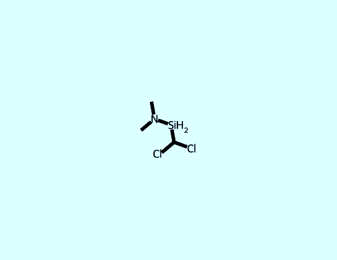 CN(C)[SiH2]C(Cl)Cl